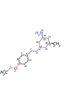 CCOc1ccc(CCN2C[C@H](C)C[C@H](N)C2)cc1